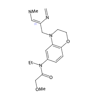 C=N/C(=C\NC)CN1CCOc2ccc(N(CC)C(=O)COC)cc21